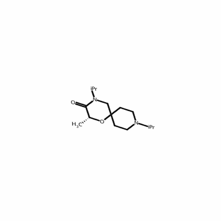 CC(C)N1CCC2(CC1)CN(C(C)C)C(=O)[C@@H](C)O2